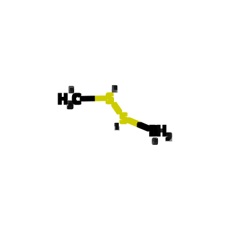 BSSC